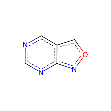 c1ncc2conc2n1